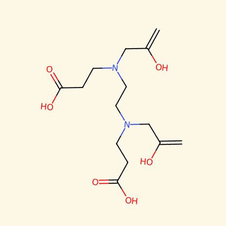 C=C(O)CN(CCC(=O)O)CCN(CCC(=O)O)CC(=C)O